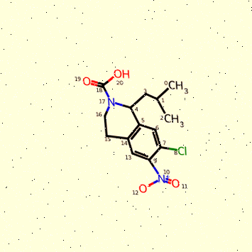 CC(C)CC1c2cc(Cl)c([N+](=O)[O-])cc2CCN1C(=O)O